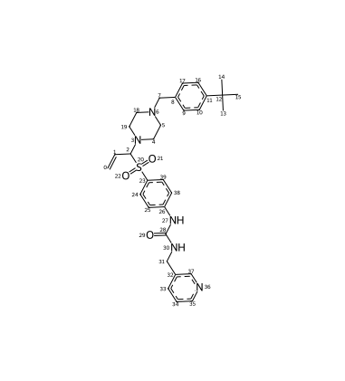 C=CC(N1CCN(Cc2ccc(C(C)(C)C)cc2)CC1)S(=O)(=O)c1ccc(NC(=O)NCc2cccnc2)cc1